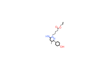 C=CCOC(=O)CCCCn1nc(-c2ccc(O)cc2)c(C)cc1=N